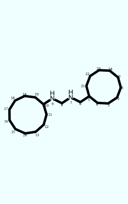 C1CCCCC(CNCNC2CCCCCCCCCC2)CCCC1